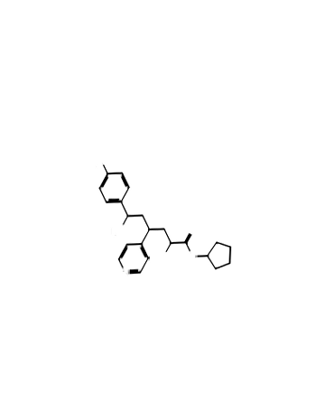 CC(CC(CC(C)c1ccc(C(=O)O)cc1)c1ccncc1)C(=O)OC1CCCC1